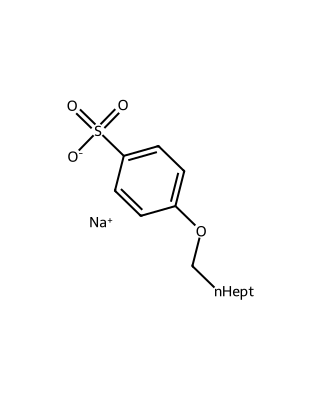 CCCCCCCCOc1ccc(S(=O)(=O)[O-])cc1.[Na+]